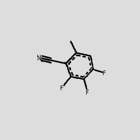 Cc1cc(F)c(F)c(F)c1C#N